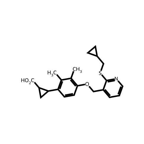 Cc1c(OCc2cccnc2SCC2CC2)ccc(C2CC2C(=O)O)c1C